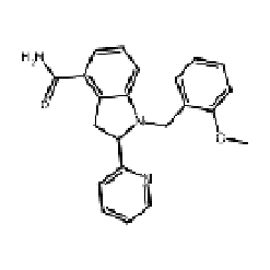 COc1ccccc1CN1c2cccc(C(N)=O)c2CC1c1ccccn1